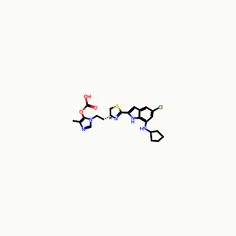 Cc1ncn(CC[C@@H]2CSC(c3cc4cc(Cl)cc(NC5CCCC5)c4[nH]3)=N2)c1OC(=O)O